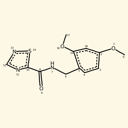 COc1ccc(CNC(=O)c2ncns2)c(OC)c1